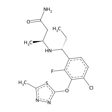 CC[C@@H](N[C@@H](C)CC(N)=O)c1ccc(Cl)c(Oc2nnc(C)s2)c1F